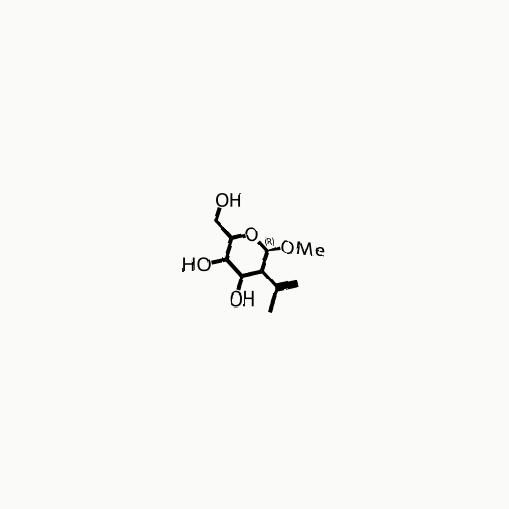 C=C(C)C1C(O)C(O)C(CO)O[C@H]1OC